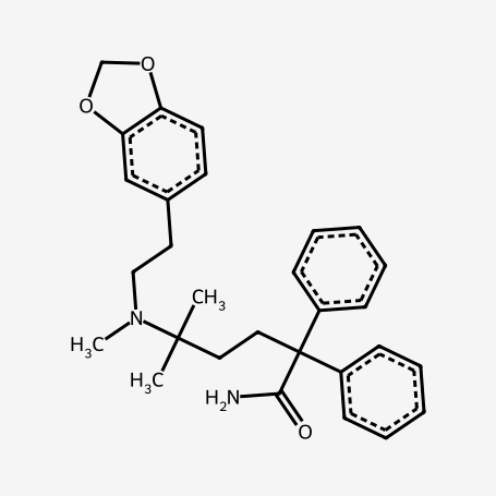 CN(CCc1ccc2c(c1)OCO2)C(C)(C)CCC(C(N)=O)(c1ccccc1)c1ccccc1